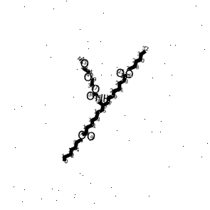 CCCCCCCOC(=O)CCCCCCC(CCCCCCCC(=O)OCCCCCC)CNC(=O)OCCOCCOC